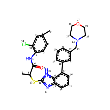 Cc1ccc(NC(=O)C(C)Sc2nc3cccc(-c4cccc(CN5CCOCC5)c4)c3[nH]2)c(Cl)c1